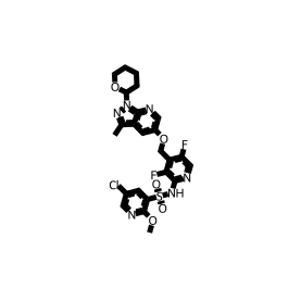 COc1ncc(Cl)cc1S(=O)(=O)Nc1ncc(F)c(COc2cnc3c(c2)c(C)nn3C2CCCCO2)c1F